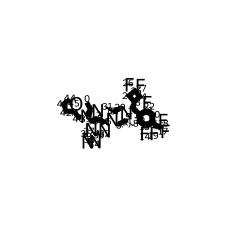 Cc1nc2c(N3C[C@@H](C)N(C(c4cc(F)c(C(F)(F)F)cc4F)C4CC(F)(F)C4)C[C@@H]3C)nc3nncn3c2n1CC1CCCO1